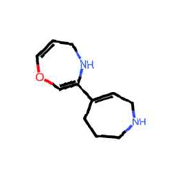 C1=COC=C(C2=CCNCCC2)NC1